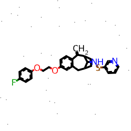 C=C1c2ccc(OCCOc3ccc(F)cc3)cc2CC2CCC1C2NSc1cccnc1